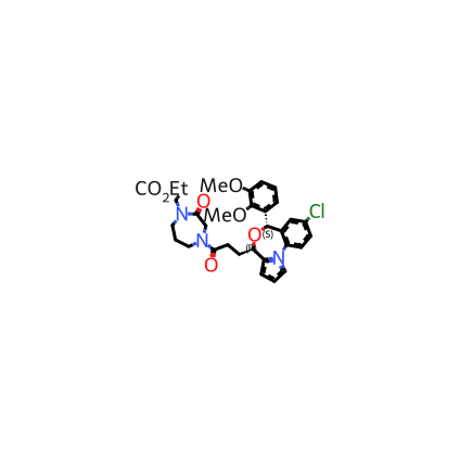 CCOC(=O)CN1CCCN(C(=O)CC[C@H]2O[C@H](c3cccc(OC)c3OC)c3cc(Cl)ccc3-n3cccc32)CC1=O